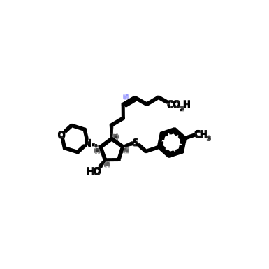 Cc1ccc(CS[C@H]2C[C@@H](O)[C@H](N3CCOCC3)[C@H]2CC/C=C\CCC(=O)O)cc1